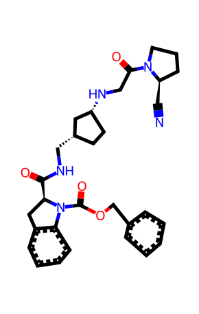 N#C[C@@H]1CCCN1C(=O)CN[C@@H]1CC[C@H](CNC(=O)[C@@H]2Cc3ccccc3N2C(=O)OCc2ccccc2)C1